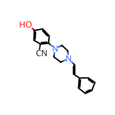 N#Cc1cc(O)ccc1N1CCN(C=Cc2ccccc2)CC1